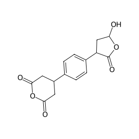 O=C1CC(c2ccc(C3CC(O)OC3=O)cc2)CC(=O)O1